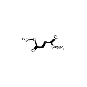 O=C(C=CC(=O)O[SiH3])O[SiH3]